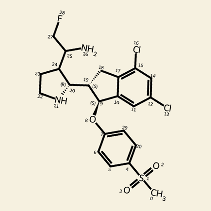 CS(=O)(=O)c1ccc(O[C@@H]2c3cc(Cl)cc(Cl)c3C[C@H]2[C@@H]2NCCC2C(N)CF)cc1